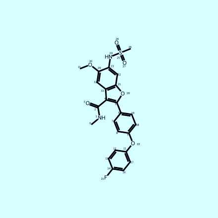 CNC(=O)c1c(-c2ccc(Oc3ccc(F)cc3)cc2)oc2cc(NS(C)(=O)=O)c(OC)cc12